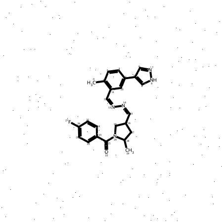 Cc1ccc(-c2cn[nH]c2)cc1/C=N\N=C/C1CC(C)N(C(=O)c2ccc(F)cc2)C1